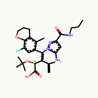 C=C(C)/C(=C(/c1cc(F)c2c(c1C)CCCO2)n1nc(C(=O)NCCC)cc1N)[C@H](OC(C)(C)C)C(=O)O